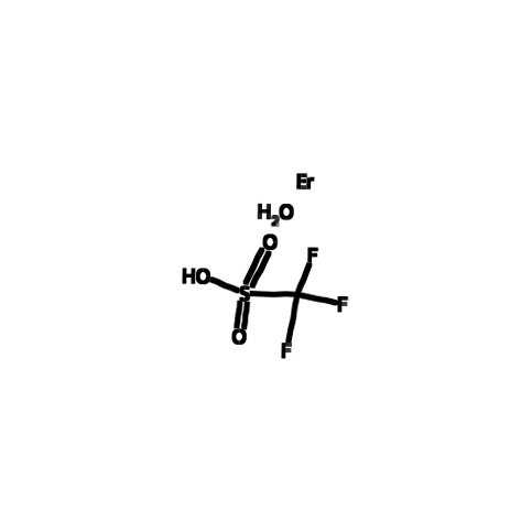 O.O=S(=O)(O)C(F)(F)F.[Er]